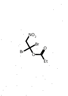 CCC(=O)OC(Br)(Br)C[N+](=O)[O-]